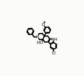 COc1cccc(C23CCN(Cc4ccccc4)CC2(O)Cc2c([nH]c4ccc(Cl)cc24)C3)c1